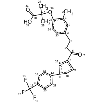 Cc1cc(CCC(=O)c2ccc(-c3ccc(C(F)(F)F)cc3)s2)ccc1OC(C)(C)C(=O)O